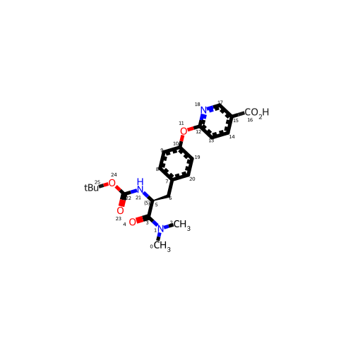 CN(C)C(=O)[C@H](Cc1ccc(Oc2ccc(C(=O)O)cn2)cc1)NC(=O)OC(C)(C)C